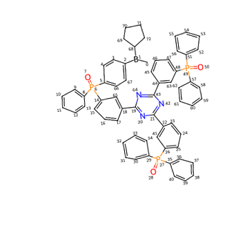 CB(c1ccc(P(=O)(c2ccccc2)c2cccc(-c3nc(-c4cccc(P(=O)(c5ccccc5)c5ccccc5)c4)nc(-c4cccc(P(=O)(c5ccccc5)c5ccccc5)c4)n3)c2)cc1)C1CCCC1